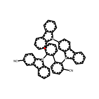 N#Cc1ccc2c(c1)c1ccccc1n2-c1ccccc1-c1cccc(C#N)c1-n1c2ccccc2c2ccc(-n3c4ccccc4c4ccccc43)cc21